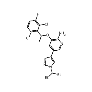 CCC(CC)n1cc(-c2cnc(N)c(OC(C)c3c(Cl)ccc(F)c3Cl)c2)cn1